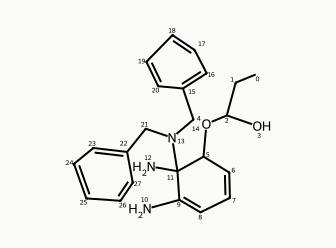 CCC(O)OC1C=CC=C(N)C1(N)N(Cc1ccccc1)Cc1ccccc1